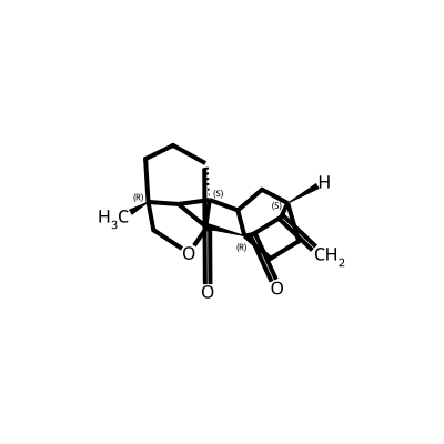 C=C1C(=O)[C@]23CC[C@H]1CC2[C@@]12CCC[C@@](C)(COC1)C2CC3=O